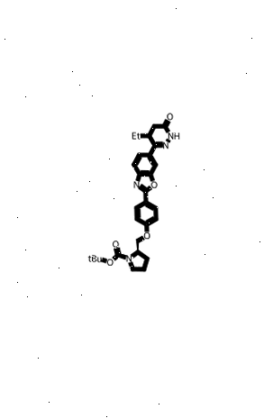 CCC1CC(=O)NN=C1c1ccc2nc(-c3ccc(OC[C@H]4CCCN4C(=O)OC(C)(C)C)cc3)oc2c1